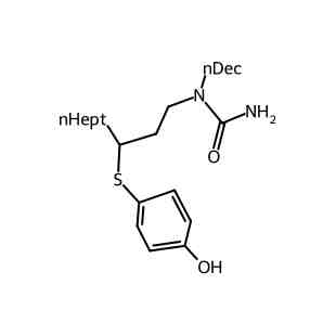 CCCCCCCCCCN(CCC(CCCCCCC)Sc1ccc(O)cc1)C(N)=O